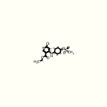 CCOC(=O)c1cnc(Cl)cc1NC1CCC(OS(C)(=O)=O)CC1